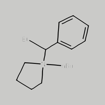 CCCC[N+]1(C(CC)c2ccccc2)CCCC1